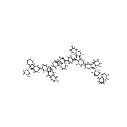 c1ccc(-n2c3ccccc3c3cc(-c4ccc5c(c4)c4cc6ccccc6cc4n5-c4cnc5c(c4)-c4cccc6c(-c7ccc(-n8c9ccc(-c%10ccc%11c(c%10)c%10ccccc%10n%11-c%10cnc%11c(c%10)-c%10cccc%12cncc-%11c%10%12)cc9c9ccc%10ccccc%10c98)cc7)ncc-5c46)ccc32)cc1